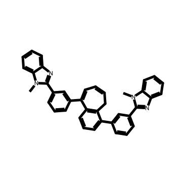 Cn1c(-c2cccc(C3=CC=CCc4c3cccc4-c3cccc(-c4nc5ccccc5n4C)c3)c2)nc2ccccc21